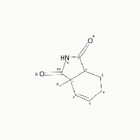 CC12C=CCCC1C(=O)NC2=O